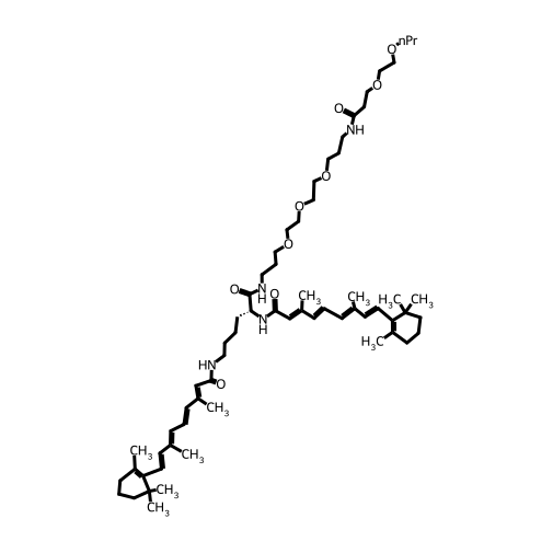 CCCOCCOCCC(=O)NCCCOCCOCCOCCCNC(=O)[C@@H](CCCCNC(=O)/C=C(C)/C=C/C=C(C)/C=C/C1=C(C)CCCC1(C)C)NC(=O)/C=C(C)/C=C/C=C(C)/C=C/C1=C(C)CCCC1(C)C